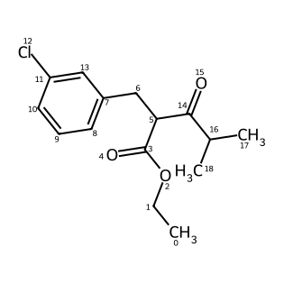 CCOC(=O)C(Cc1cccc(Cl)c1)C(=O)C(C)C